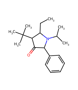 CCC1C(C(C)(C)C)C(=O)C(c2ccccc2)N1C(C)C